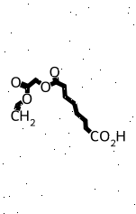 C=COC(=O)COC(=O)CCCCCCC(=O)O